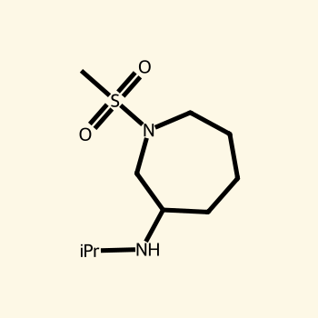 CC(C)NC1CCCCN(S(C)(=O)=O)C1